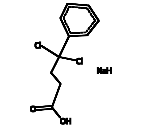 O=C(O)CCC(Cl)(Cl)c1ccccc1.[NaH]